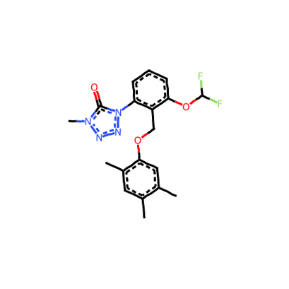 Cc1cc(C)c(OCc2c(OC(F)F)cccc2-n2nnn(C)c2=O)cc1C